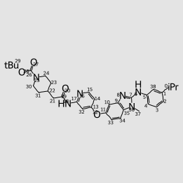 CC(C)c1cccc(Nc2nc3cc(Oc4ccnc(NC(=O)CC5CCN(C(=O)OC(C)(C)C)CC5)c4)ccc3n2C)c1